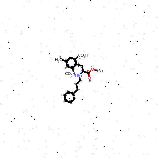 Cc1cc(C(=O)O)c(CC(NCCCc2ccccc2)C(=O)OC(C)(C)C)c(C(=O)O)c1